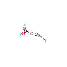 FCCCCC/C=C/[C@H]1CC[C@H](C2CCC(CCc3cc(OCF)cc(OCF)c3)CC2)CC1